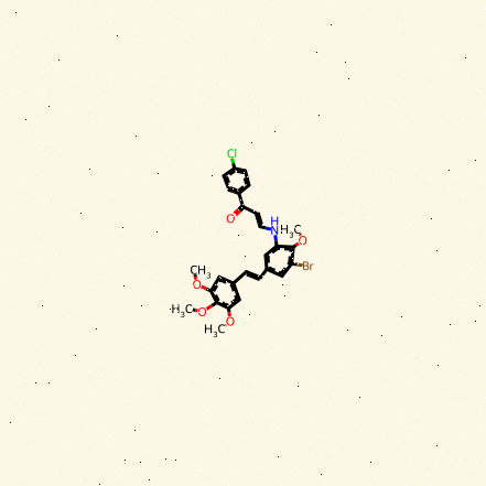 COc1cc(C=Cc2cc(Br)c(OC)c(NC=CC(=O)c3ccc(Cl)cc3)c2)cc(OC)c1OC